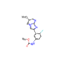 COc1cnc2nc(-c3cc(NC(=O)OC(C)(C)C)ccc3F)cn2c1